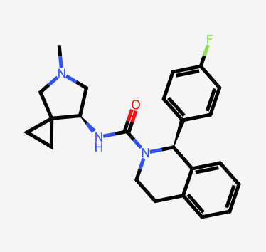 CN1C[C@@H](NC(=O)N2CCc3ccccc3[C@@H]2c2ccc(F)cc2)C2(CC2)C1